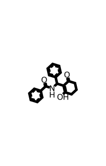 O=C1CCCC(O)=C1C(NC(=O)c1ccccc1)c1ccccc1